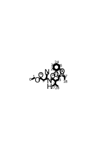 CCOC(=O)CC(C#N)NC(=O)C(CC(=O)N(CC)Oc1ccccc1)C(C)C